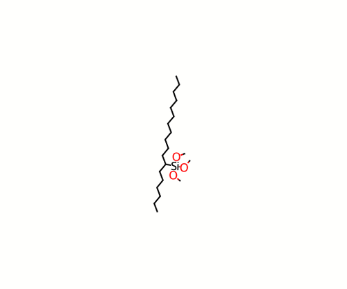 CCCCCCCCCCCC(CCCCCC)[Si](OC)(OC)OC